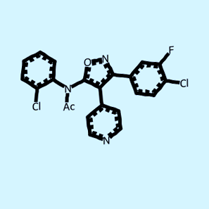 CC(=O)N(c1ccccc1Cl)c1onc(-c2ccc(Cl)c(F)c2)c1-c1ccncc1